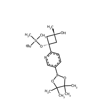 CC1(C)OB(c2ccc([C@]3(O[Si](C)(C)C(C)(C)C)C[C@@](C)(O)C3)nc2)OC1(C)C